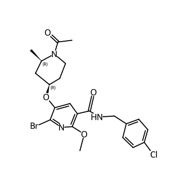 COc1nc(Br)c(O[C@@H]2CCN(C(C)=O)[C@H](C)C2)cc1C(=O)NCc1ccc(Cl)cc1